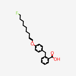 O=C(O)c1ccccc1Cc1ccc(OC=CCCCCCCCF)cc1